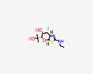 CCNC1=N[C@@H]2[C@@H](F)[C@H](O)[C@@H](C(C)(C)O)O[C@@H]2S1